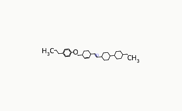 CCCc1ccc(OCC2C=CC(/C=C/C3CCC(C4CCC(CC)CC4)CC3)CC2)cc1